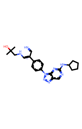 CC(C)(O)CN/C=C(\C=N)c1ccc(-n2nnc3cnc(NC4CCCC4)nc32)cc1